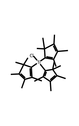 CC1=C(C)C(C)(C)[C]([Ti]([Cl])([C]2=C(C)C(C)=C(C)C2(C)C)[C]2=C(C)C(C)=C(C)C2(C)C)=C1C